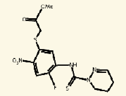 COC(=O)CSc1cc(NC(=S)N2CCCC=N2)c(F)cc1[N+](=O)[O-]